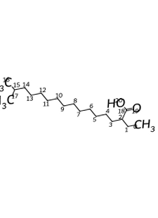 CCC(CCCCCCCCCCCCC(C)C)C(=O)O